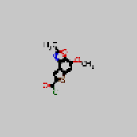 COc1cc2sc(C(=O)Cl)cc2c2nc(C)oc12